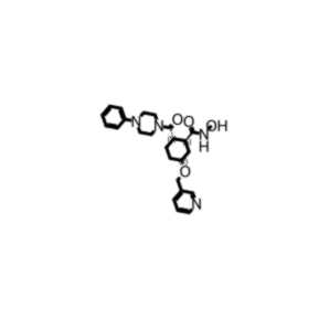 O=C(NO)[C@H]1C[C@H](OCc2cccnc2)CC[C@@H]1C(=O)N1CCN(c2ccccc2)CC1